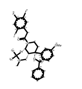 [2H]C([2H])([2H])N(C)C[C@@H]1CN(C(=O)Cc2cc(F)c(F)cc2F)CC[C@@]1(OC(=O)c1ccccc1)c1cccc(OC)c1